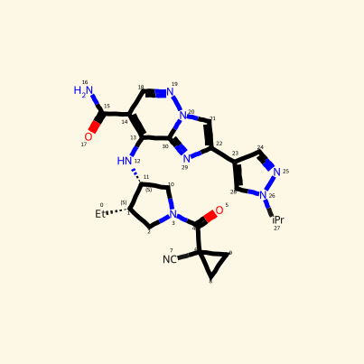 CC[C@H]1CN(C(=O)C2(C#N)CC2)C[C@H]1Nc1c(C(N)=O)cnn2cc(-c3cnn(C(C)C)c3)nc12